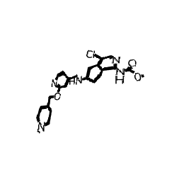 COC(=O)Nc1ncc(Cl)c2cc(NCc3ccnc(OCC4CCN(C)CC4)c3)ccc12